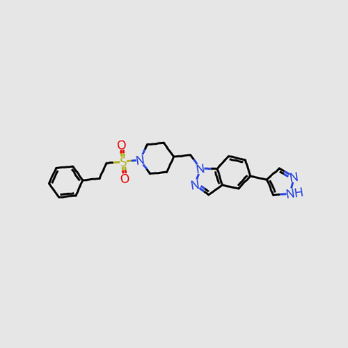 O=S(=O)(CCc1ccccc1)N1CCC(Cn2ncc3cc(-c4cn[nH]c4)ccc32)CC1